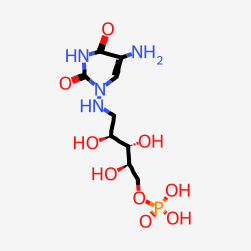 Nc1cn(NC[C@H](O)[C@H](O)[C@H](O)COP(=O)(O)O)c(=O)[nH]c1=O